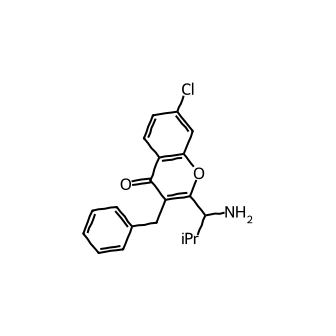 CC(C)C(N)c1oc2cc(Cl)ccc2c(=O)c1Cc1ccccc1